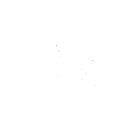 CCn1nc(O[C@@H]2C[C@H]3C(=O)N[C@]4(C(=O)NS(=O)(=O)C5(C)CC5)C[C@H]4/C=C\CC[C@@H](C)C[C@@H](C)[C@H](N(C(=O)O)[C@H]4CC5C[C@H]5C4)C(=O)N3C2)c2ccccc2c1=O